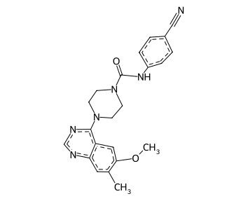 COc1cc2c(N3CCN(C(=O)Nc4ccc(C#N)cc4)CC3)ncnc2cc1C